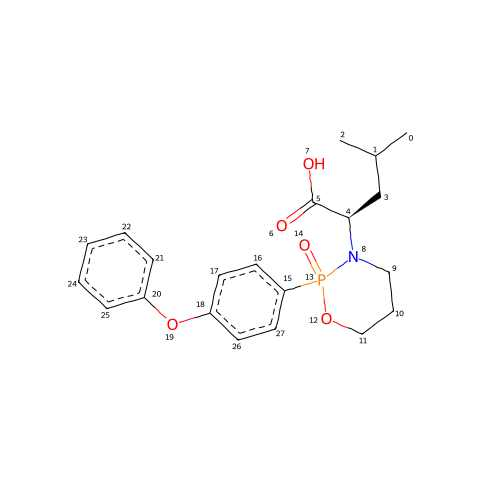 CC(C)C[C@H](C(=O)O)N1CCCOP1(=O)c1ccc(Oc2ccccc2)cc1